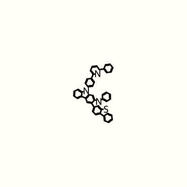 c1ccc(-c2cccc(-c3ccc(-n4c5ccccc5c5cc6c7ccc8c9ccccc9sc8c7n(-c7ccccc7)c6cc54)cc3)n2)cc1